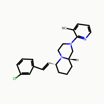 N#Cc1cccnc1N1CCN2[C@@H](CCC[C@@H]2C=Cc2cccc(Cl)c2)C1